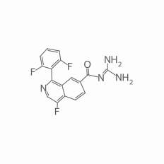 NC(N)=NC(=O)c1ccc2c(F)cnc(-c3c(F)cccc3F)c2c1